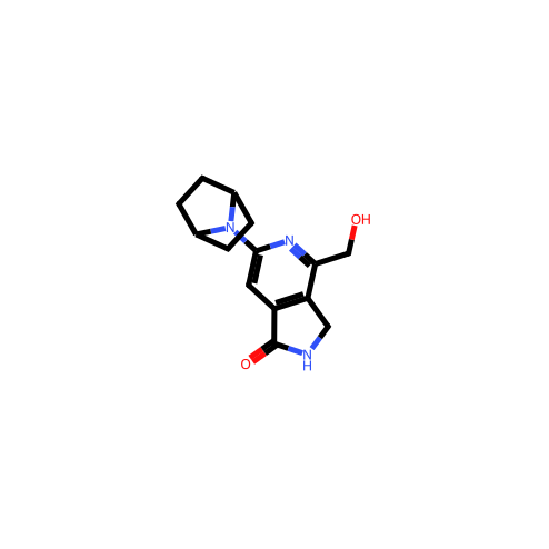 O=C1NCc2c1cc(N1C3CCC1CC3)nc2CO